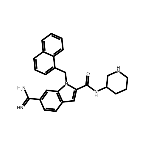 N=C(N)c1ccc2cc(C(=O)NC3CCCNC3)n(Cc3cccc4ccccc34)c2c1